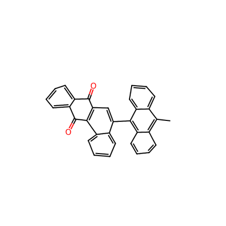 Cc1c2ccccc2c(-c2cc3c(c4ccccc24)C(=O)c2ccccc2C3=O)c2ccccc12